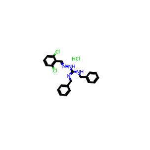 Cl.Clc1cccc(Cl)c1C=NNC(=NCc1ccccc1)NCc1ccccc1